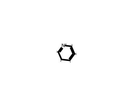 C1=CCC=NC=1